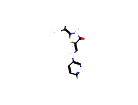 CCOC(=O)C(C#N)=c1sc(=CNc2ccc(Cl)nc2)c(=O)n1CC